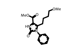 COCCCCc1c(C(=O)OC)[nH]c(=O)n1-c1ccccc1